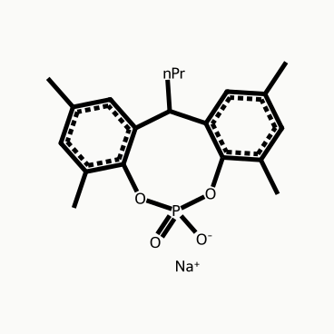 CCCC1c2cc(C)cc(C)c2OP(=O)([O-])Oc2c(C)cc(C)cc21.[Na+]